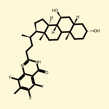 Cc1c(F)c(F)c2c(=O)[nH]c(CC[C@@H](C)[C@H]3CC[C@H]4[C@H]5C(CC[C@]34C)[C@@]3(C)CC[C@@H](O)C[C@H]3C[C@@H]5O)nc2c1F